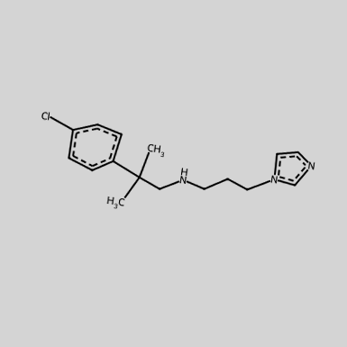 CC(C)(CNCCCn1ccnc1)c1ccc(Cl)cc1